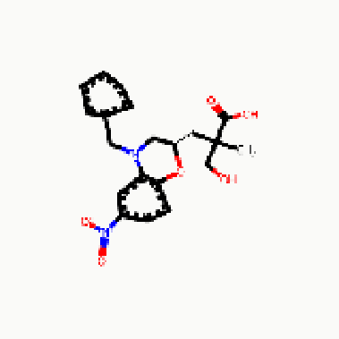 CC(CO)(C[C@H]1CN(Cc2ccccc2)c2cc([N+](=O)[O-])ccc2O1)C(=O)O